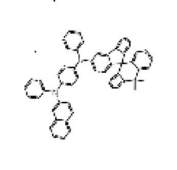 CC1(C)c2ccccc2C2(c3ccccc3-c3cc(N(c4ccccc4)c4ccc(N(c5ccccc5)c5ccc6ccccc6c5)cc4)ccc32)c2ccccc21